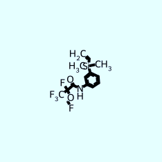 C=C[Si](C)(C)c1cccc(NC(=O)C(F)(OCF)C(F)(F)F)c1